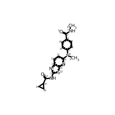 CNC(=O)c1ccc(N(C)c2ccc3nc(NC(=O)C4CC4)sc3n2)cc1